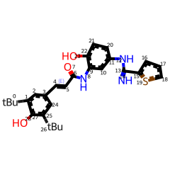 CC(C)(C)c1cc(/C=C/C(=O)Nc2cc(NC(=N)c3cccs3)ccc2O)cc(C(C)(C)C)c1O